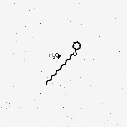 C=C.CCCCCCCCCCCCOc1ccccc1.O